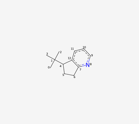 CC(C)(C)C1CCc2ncccc21